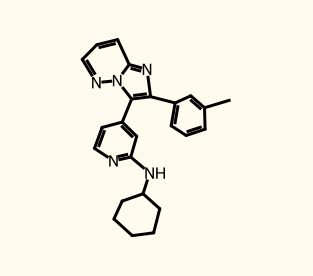 Cc1cccc(-c2nc3cccnn3c2-c2ccnc(NC3CCCCC3)c2)c1